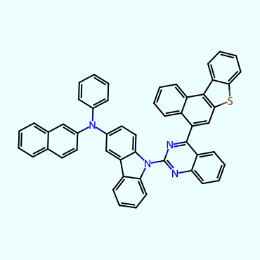 c1ccc(N(c2ccc3ccccc3c2)c2ccc3c(c2)c2ccccc2n3-c2nc(-c3cc4sc5ccccc5c4c4ccccc34)c3ccccc3n2)cc1